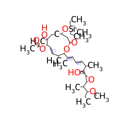 CCC(OC)C(C)C1OC1[C@@H](O)C(C)/C=C/C=C(\C)C1OC(=O)CC(O[Si](CC)(CC)CC)CCC(C)(O)C(OC(C)=O)/C=C/C1C